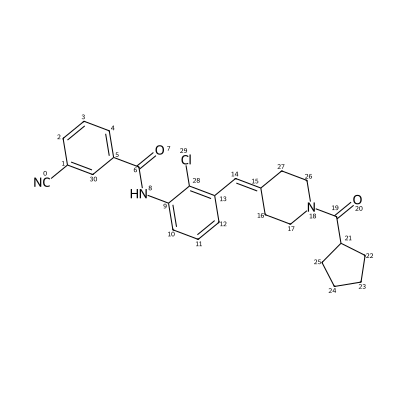 N#Cc1cccc(C(=O)Nc2cccc(C=C3CCN(C(=O)C4CCCC4)CC3)c2Cl)c1